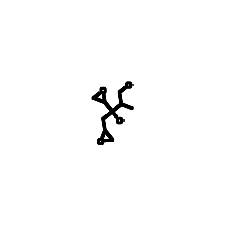 CC(C[O])C([O])(CC1CO1)C1CO1